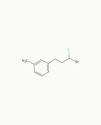 CCC(F)CCc1cccc(C)c1